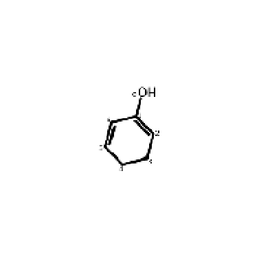 OC1=CCCC=[C]1